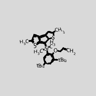 C=CCOc1c(C(C)(C)C)cc(C(C)(C)C)cc1[Si](C)(C)C1=c2sc(C)cc2=C2C=C(C)SC21